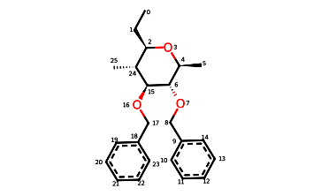 CC[C@H]1O[C@@H](C)[C@H](OCc2ccccc2)[C@@H](OCc2ccccc2)[C@@H]1C